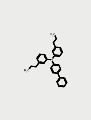 CCCc1cccc(N(c2ccc(-c3ccccc3)cc2)c2cccc(CCC)c2)c1